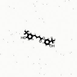 CC(C)(C)c1cc(CCCC(=O)Oc2ccc(O)c(C(C)(C)C)c2)ccc1O